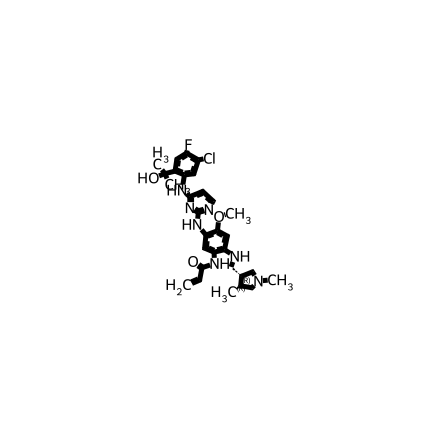 C=CC(=O)Nc1cc(Nc2nccc(Nc3cc(Cl)c(F)cc3C(C)(C)O)n2)c(OC)cc1NC[C@@H]1CN(C)C[C@@H]1C